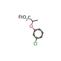 CCOC(=O)C(C)Oc1cccc(Cl)c1